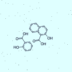 O=C(O)c1c(O)ccc2ccccc12.O=C(O)c1ccccc1O